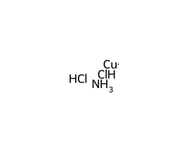 Cl.Cl.N.[Cu]